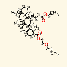 CCCOCCOC(=O)c1ccc2c(c1)C1(C)C=C(CCCC(=O)OCC)C3(C)C4CCCCC4(C)CCC3(C)C1CC2